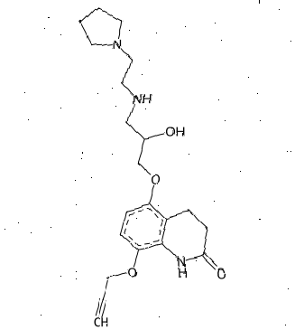 C#CCOc1ccc(OCC(O)CNCCN2CCCC2)c2c1NC(=O)CC2